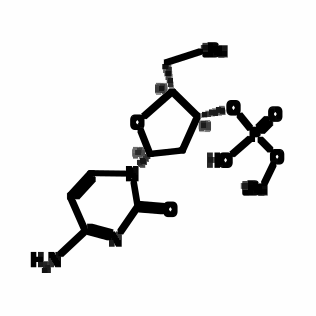 CC(C)(C)C[C@H]1O[C@@H](n2ccc(N)nc2=O)C[C@H]1OP(=O)(O)OC(C)(C)C